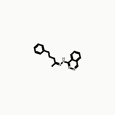 C/C(CCCc1ccccc1)=N/Nc1nncc2ccccc12